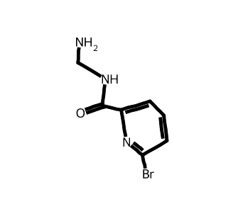 NCNC(=O)c1cccc(Br)n1